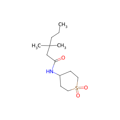 CCCC(C)(C)CC(=O)NC1CCS(=O)(=O)CC1